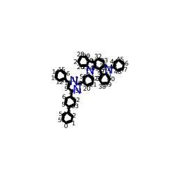 c1ccc(-c2ccc(-c3cc(-c4ccccc4)nc(-c4cccc(-n5c6ccccc6c6ccc7c(c8ccccc8n7-c7ccccc7)c65)c4)n3)cc2)cc1